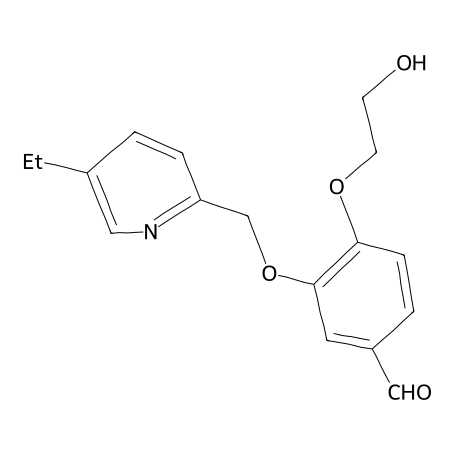 CCc1ccc(COc2cc(C=O)ccc2OCCO)nc1